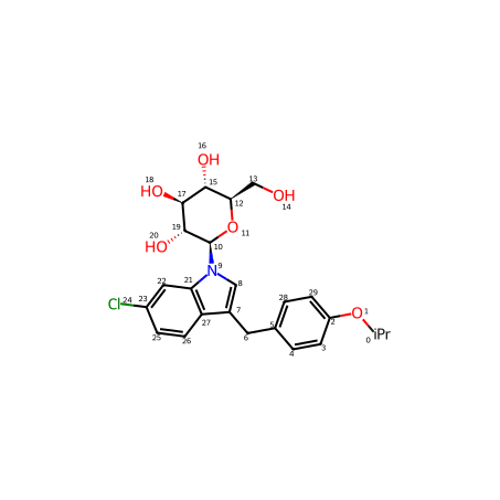 CC(C)Oc1ccc(Cc2cn([C@@H]3O[C@H](CO)[C@@H](O)[C@H](O)[C@H]3O)c3cc(Cl)ccc23)cc1